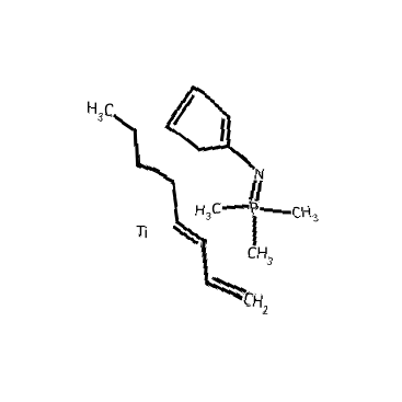 C=CC=CCCCC.CP(C)(C)=NC1=CC=CC1.[Ti]